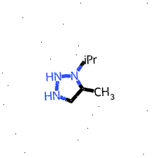 CC(C)N1NNCC1C